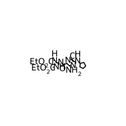 CCOC(=O)NC(=NC(=O)c1nc(Cl)c(NC2CCCC2)nc1N)NC(=O)OCC